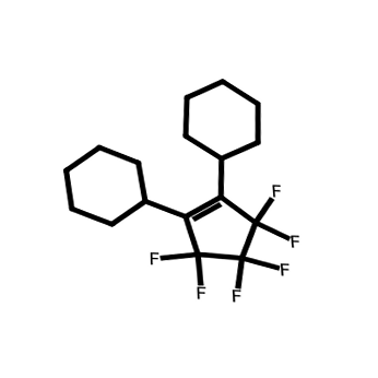 FC1(F)C(C2CCCCC2)=C(C2CCCCC2)C(F)(F)C1(F)F